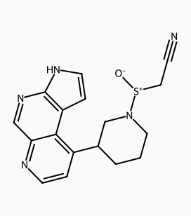 N#CC[S+]([O-])N1CCCC(c2ccnc3cnc4[nH]ccc4c23)C1